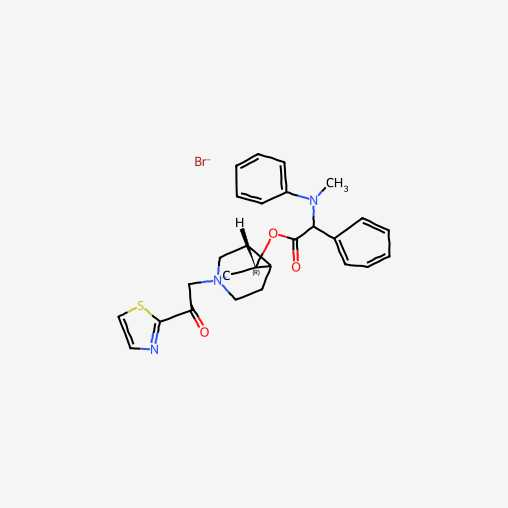 CN(c1ccccc1)C(C(=O)O[C@H]1C[N+]2(CC(=O)c3nccs3)CCC1CC2)c1ccccc1.[Br-]